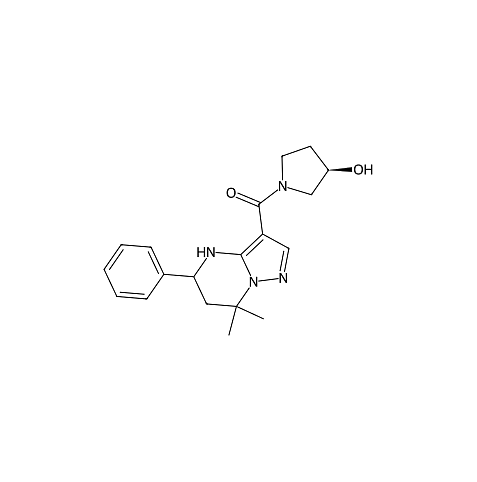 CC1(C)CC(c2ccccc2)Nc2c(C(=O)N3CC[C@@H](O)C3)cnn21